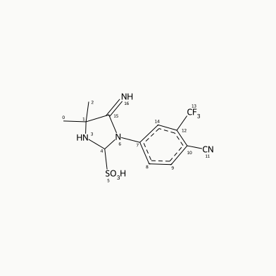 CC1(C)NC(S(=O)(=O)O)N(c2ccc(C#N)c(C(F)(F)F)c2)C1=N